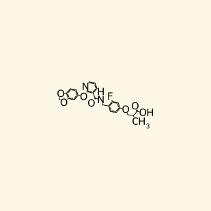 C[C@@H](COc1ccc(CNC(=O)c2cccnc2Oc2ccc3c(c2)OCO3)c(F)c1)C(=O)O